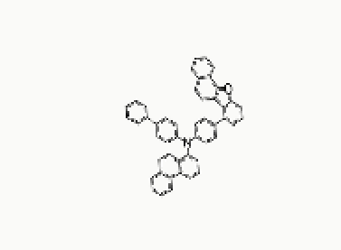 c1ccc(-c2ccc(N(c3ccc(-c4cccc5oc6c7ccccc7ccc6c45)cc3)c3cccc4c3ccc3ccccc34)cc2)cc1